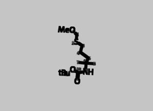 COCSCCCC(C)(C)NC(=O)OC(C)(C)C